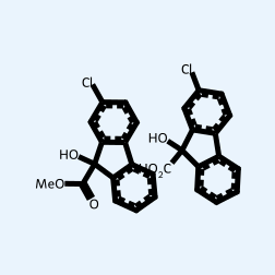 COC(=O)C1(O)c2ccccc2-c2ccc(Cl)cc21.O=C(O)C1(O)c2ccccc2-c2ccc(Cl)cc21